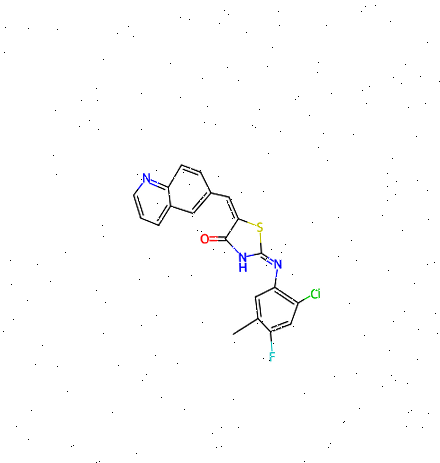 Cc1cc(N=C2NC(=O)C(=Cc3ccc4ncccc4c3)S2)c(Cl)cc1F